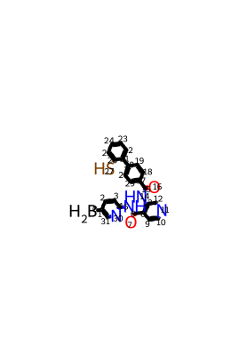 Bc1ccc(NC(=O)c2ccncc2NC(=O)c2ccc(-c3ccccc3S)cc2)nc1